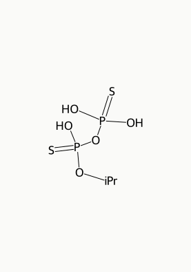 CC(C)OP(O)(=S)OP(O)(O)=S